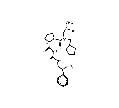 CC(CNC(=O)NC(=O)[C@@H]1CCCN1C(=O)[C@H](CC1CCCC1)CN(O)C=O)c1ccccc1